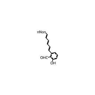 CCCCCCCCCC=CC=CC=Cc1cccc(O)c1C=O